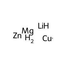 [Cu].[LiH].[MgH2].[Zn]